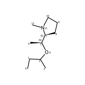 CCC(C)O[C@@H](C)[C@@H]1CCCN1C